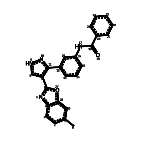 Cc1ccc2nc(-c3c[nH]nc3-c3cccc(NC(=O)c4ccccc4)c3)oc2c1